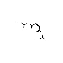 CCCCCCCC(CCCC)OC(=O)/C=C\C(=O)OC(CCCC)CCCCCCC